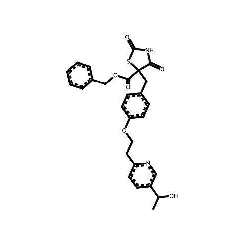 CC(O)c1ccc(CCOc2ccc(CC3(C(=O)OCc4ccccc4)SC(=O)NC3=O)cc2)nc1